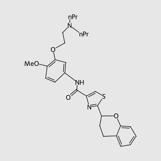 CCCN(CCC)CCOc1cc(NC(=O)c2csc(C3CCc4ccccc4O3)n2)ccc1OC